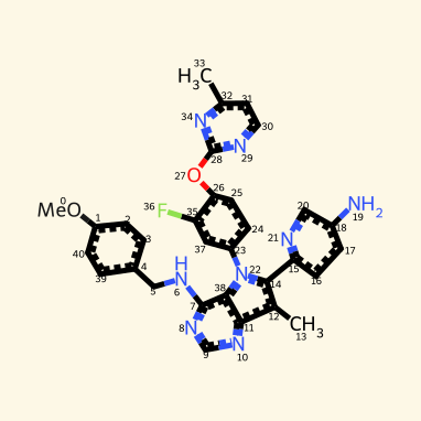 COc1ccc(CNc2ncnc3c(C)c(-c4ccc(N)cn4)n(-c4ccc(Oc5nccc(C)n5)c(F)c4)c23)cc1